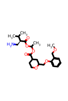 COCc1ccccc1OCC1CC(C(=O)OC(C)OC(=O)[C@@H](CN)C(C)C)CCO1